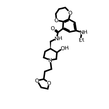 CCNc1cc2c(c(C(=O)NC[C@@H]3CCN(CCC4OCCO4)CC3O)c1)OCCCO2